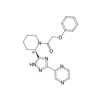 O=C(COc1ccccc1)N1CCCC[C@@H]1c1nc(-c2cnccn2)n[nH]1